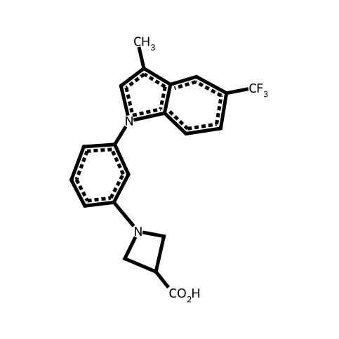 Cc1cn(-c2cccc(N3CC(C(=O)O)C3)c2)c2ccc(C(F)(F)F)cc12